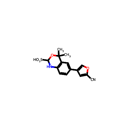 CC1(C)OC(S(=O)(=O)O)Nc2ccc(-c3coc(C#N)c3)cc21